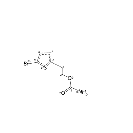 NC(=O)OCCc1ccc(Br)s1